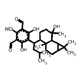 CC(C)CC(c1c(O)c(C=O)c(O)c(C=O)c1O)C1CCC(C)(O)C2C3C(CCC12C)C3(C)C